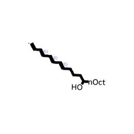 [CH]=C/C=C/C=C/C=C/CCCC(O)CCCCCCCC